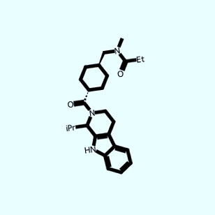 CCC(=O)N(C)C[C@H]1CC[C@H](C(=O)N2CCc3c([nH]c4ccccc34)C2C(C)C)CC1